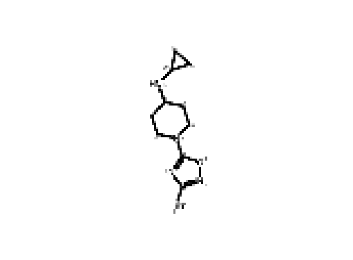 CC(C)c1noc(N2CCC(NC3CC3)CC2)n1